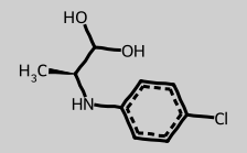 C[C@H](Nc1ccc(Cl)cc1)C(O)O